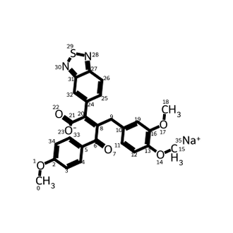 COc1ccc(C(=O)C(Cc2ccc(OC)c(OC)c2)=C(C(=O)[O-])c2ccc3nsnc3c2)cc1.[Na+]